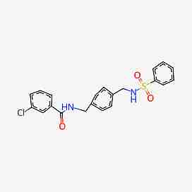 O=C(NCc1ccc(CNS(=O)(=O)c2ccccc2)cc1)c1cccc(Cl)c1